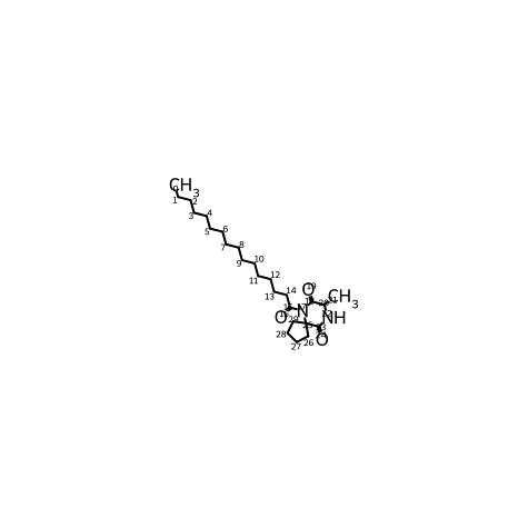 CCCCCCCCCCCCCCCC(=O)N1C(=O)C(C)NC(=O)C12CCCC2